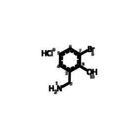 Cl.NCc1cccc(Br)c1O